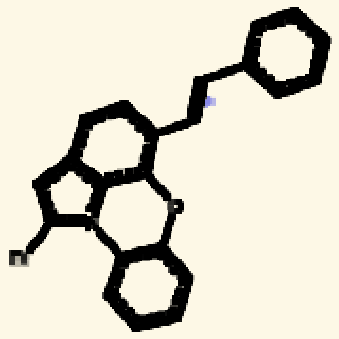 CCc1cc2ccc(/C=C/c3ccccc3)c3c2n1-c1ccccc1O3